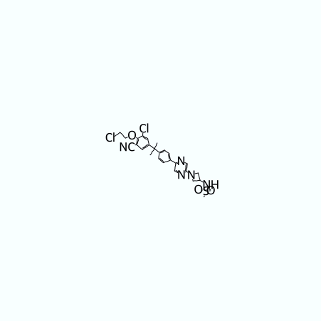 CC(C)(c1ccc(-c2cnc(N3CC(NS(C)(=O)=O)C3)cn2)cc1)c1cc(Cl)c(OCCCl)c(C#N)c1